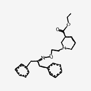 CCOC(=O)C1CCCN(CCON=C(Cc2ccccc2)Cc2ccccc2)C1